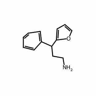 NCCC(c1ccccc1)c1ccco1